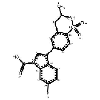 CC1Cc2cc(-c3cn(C(=O)O)c4cc(F)ccc34)ccc2S(=O)(=O)N1